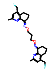 Cc1cc(CF)c2c(n1)/C(=N/OCCCO/N=C1\CCCc3c(CF)cc(C)nc31)CCC2